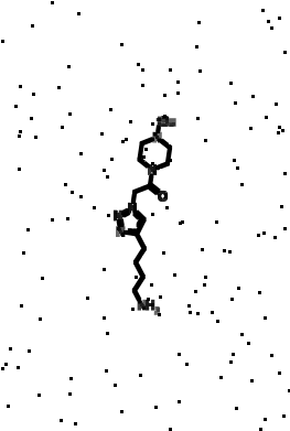 CC(C)(C)N1CCN(C(=O)Cn2cc(CCCCN)nn2)CC1